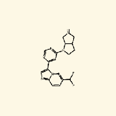 FC(F)c1ccc2ncc(-c3cc(N4CCC5CNCC54)ncn3)n2n1